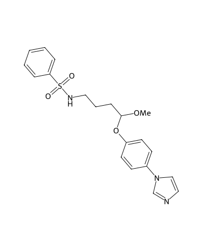 COC(CCCNS(=O)(=O)c1ccccc1)Oc1ccc(-n2ccnc2)cc1